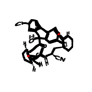 N#C[C@@H](C[C@@H]1CCCNC1=O)NC(=O)[C@H]1[C@H]2CC[C@H](CC2(F)F)N1C(=O)C1(O)c2cc(Cl)ccc2-c2ccc(Cl)cc21